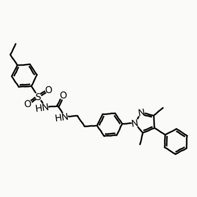 CCc1ccc(S(=O)(=O)NC(=O)NCCc2ccc(-n3nc(C)c(-c4ccccc4)c3C)cc2)cc1